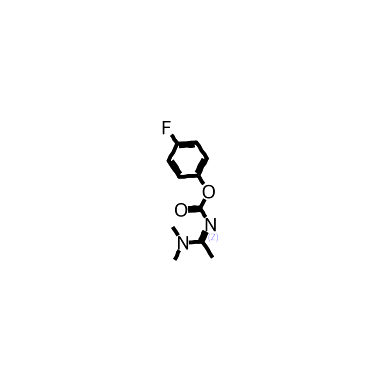 C/C(=N/C(=O)Oc1ccc(F)cc1)N(C)C